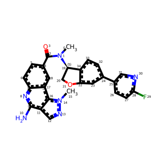 CN(C(=O)c1ccc2nc(N)c3cnn(C)c3c2c1)[C@@H]1COc2cc(-c3ccc(F)nc3)ccc21